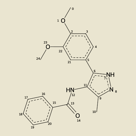 COc1ccc(-c2[nH]nc(C)c2NC(=O)c2ccccc2)cc1OC